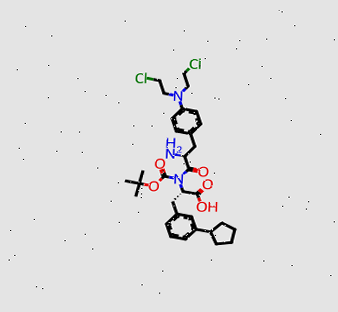 CC(C)(C)OC(=O)N(C(=O)[C@@H](N)Cc1ccc(N(CCCl)CCCl)cc1)[C@@H](Cc1cccc(C2CCCC2)c1)C(=O)O